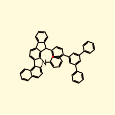 c1ccc(-c2cc(-c3ccccc3)cc(-c3ccc(C4c5ccccc5-c5ccc6c7c8ccccc8ccc7n(-c7ccccc7)c6c54)cc3)c2)cc1